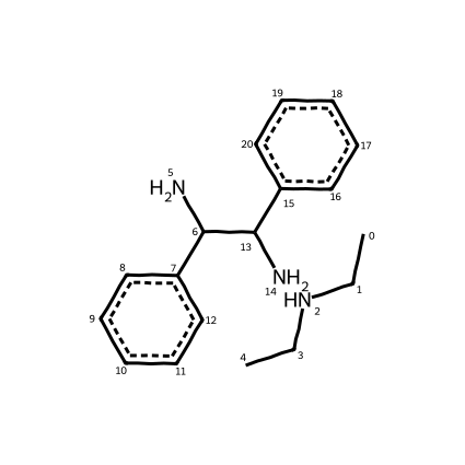 CCNCC.NC(c1ccccc1)C(N)c1ccccc1